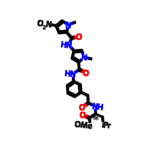 COC(=O)[C@H](CC(C)C)NC(=O)Cc1cccc(NC(=O)c2cc(NC(=O)c3cc([N+](=O)[O-])cn3C)cn2C)c1